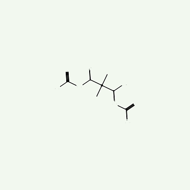 CC(C)(C(Br)OC(=O)O)C(Br)OC(=O)O